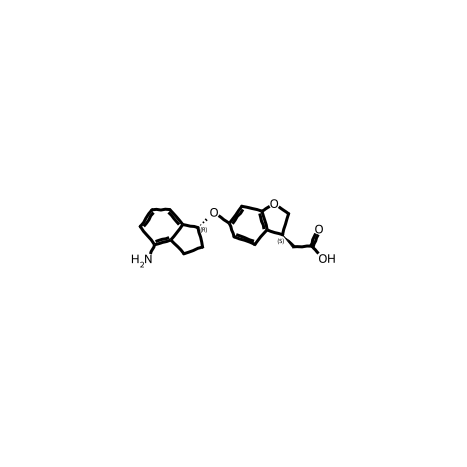 Nc1cccc2c1CC[C@H]2Oc1ccc2c(c1)OC[C@H]2CC(=O)O